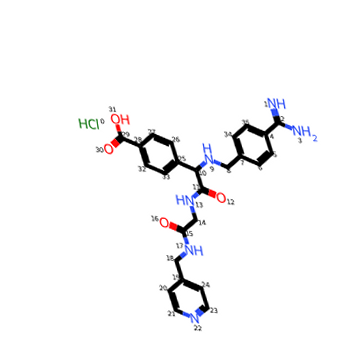 Cl.N=C(N)c1ccc(CNC(C(=O)NCC(=O)NCc2ccncc2)c2ccc(C(=O)O)cc2)cc1